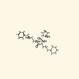 O=C(N[C@@H](CSCC1CCCCC1)C(=O)NCCNCc1ccccc1)[C@@H]1CSCN1